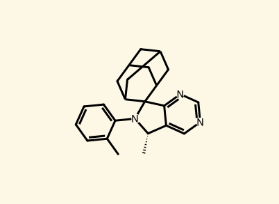 Cc1ccccc1N1[C@@H](C)c2cncnc2C12C1CC3CC(C1)CC2C3